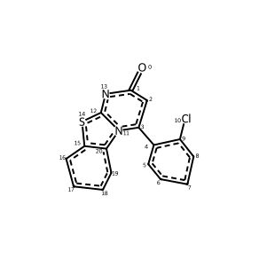 O=c1cc(-c2ccccc2Cl)n2c(n1)sc1ccccc12